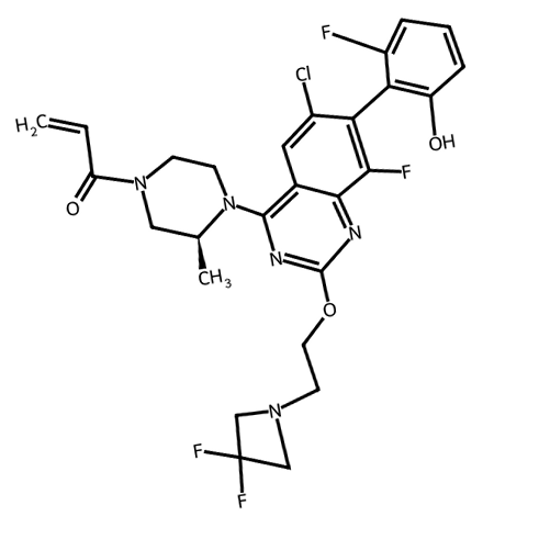 C=CC(=O)N1CCN(c2nc(OCCN3CC(F)(F)C3)nc3c(F)c(-c4c(O)cccc4F)c(Cl)cc23)[C@@H](C)C1